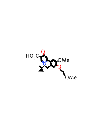 COCCCOc1cc2c(cc1OC)-c1cc(=O)c(C(=O)O)cn1[C@H](C1(C)CC1)C2